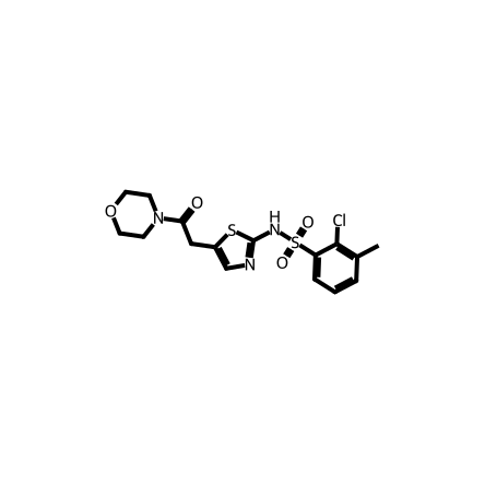 Cc1cccc(S(=O)(=O)Nc2ncc(CC(=O)N3CCOCC3)s2)c1Cl